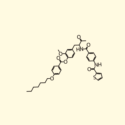 CCCCCCCOc1ccc(C(=O)Oc2ccc(CC(NC(=O)c3ccc(NC(=O)c4cccs4)cc3)C(C)=O)cc2OC)cc1